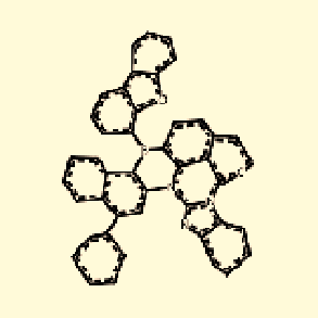 c1ccc(-c2cc3c(c4ccccc24)B(c2cccc4c2oc2ccccc24)c2ccc4cccc5c4c2n-3c2nc3ccccc3n52)cc1